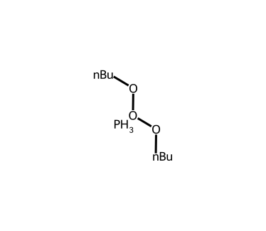 CCCCOOOCCCC.P